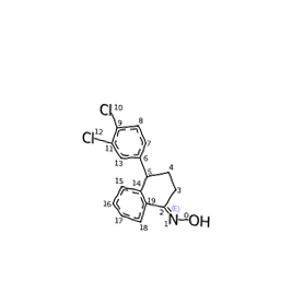 O/N=C1\CCC(c2ccc(Cl)c(Cl)c2)c2ccccc21